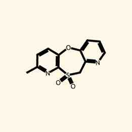 Cc1ccc2c(n1)S(=O)(=O)Cc1ncccc1O2